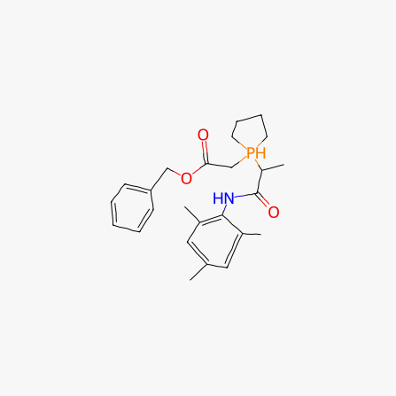 Cc1cc(C)c(NC(=O)C(C)[PH]2(CC(=O)OCc3ccccc3)CCCC2)c(C)c1